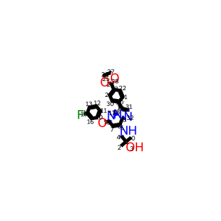 CC(C)(O)CNc1cc(Oc2cccc(F)c2)nn2c(-c3ccc(C4OCCO4)cc3)cnc12